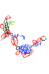 CCCC1O[C@@H]2C[C@H]3[C@@H]4C[C@H](F)C5=CC(=O)C=C[C@]5(C)[C@@]4(F)[C@@H](O)C[C@]3(C)[C@]2(C(=O)COc2ccc(NC(=O)OCc3ccc(NC(=O)[C@H](C)NC(=O)[C@@H](NC(=O)[C@H](N)CCCCNC(=O)COC4C#CCCCCC4)C(C)C)cc3)cc2)O1